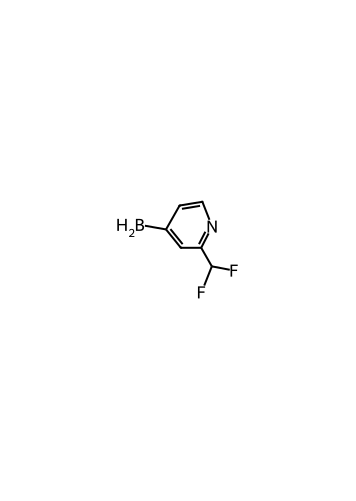 Bc1ccnc(C(F)F)c1